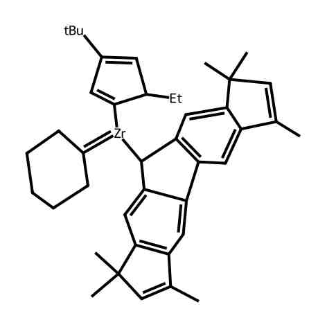 CCC1C=C(C(C)(C)C)C=[C]1[Zr](=[C]1CCCCC1)[CH]1c2cc3c(cc2-c2cc4c(cc21)C(C)(C)C=C4C)C(C)=CC3(C)C